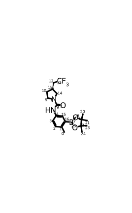 Cc1ccc(NC(=O)N2CC[C@@H](CC(F)(F)F)C2)cc1B1OC(C)(C)C(C)(C)O1